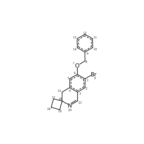 Brc1cc2c(cc1OCc1ccccc1)CC1(CCC1)N=C2